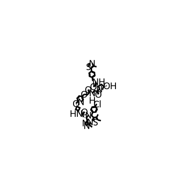 Cc1ncsc1-c1ccc(CNC(=O)[C@@H]2C[C@@H](O)CN2C(=O)CNC(=O)COc2ccc(O[C@H]3C[C@H](NC(=O)C[C@@H]4N=C(c5ccc(Cl)cc5)c5c(sc(C)c5C)-n5c(C)nnc54)C3)nc2)cc1